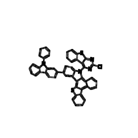 Clc1nc(-n2c3ccc(-c4ccc5c6ccccc6n(-c6ccccc6)c5c4)cc3c3c4sc5ccccc5c4c4ccccc4c32)c2c(n1)sc1ccccc12